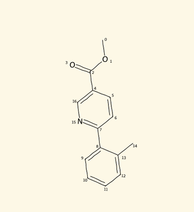 COC(=O)c1ccc(-c2ccccc2C)nc1